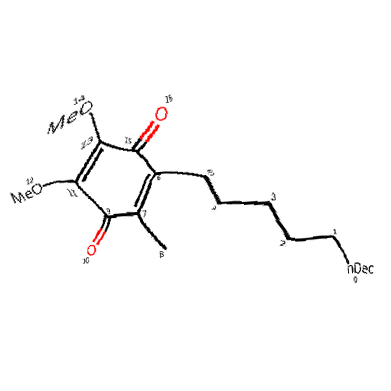 [CH2]CCCCCCCCCCCCCCC1=C(C)C(=O)C(OC)=C(OC)C1=O